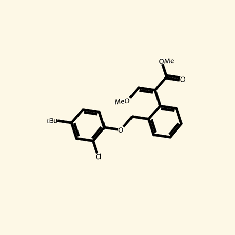 CO/C=C(/C(=O)OC)c1ccccc1COc1ccc(C(C)(C)C)cc1Cl